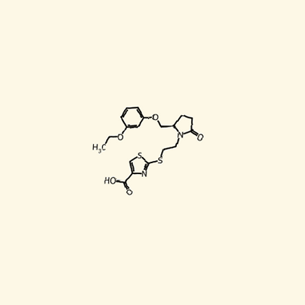 CCOc1cccc(OC[C@H]2CCC(=O)N2CCSc2nc(C(=O)O)cs2)c1